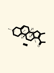 C=C.CC(=O)C1=C(C)C[C@H]2[C@@H]3CC=C4C[C@@H](C)CC[C@]4(C)[C@H]3CC[C@]12C